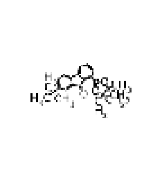 CC(C)(C)c1ccc2c(c1)C(=O)c1c(B3OC(C)(C)C(C)(C)O3)cccc1-2